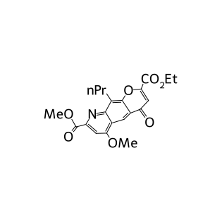 CCCc1c2nc(C(=O)OC)cc(OC)c2cc2c(=O)cc(C(=O)OCC)oc12